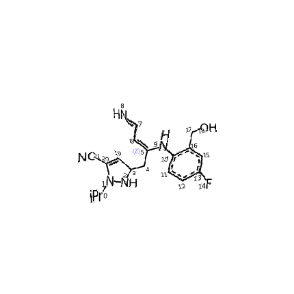 CC(C)N1NC(C/C(=C/C=N)Nc2ccc(F)cc2CO)C=C1C#N